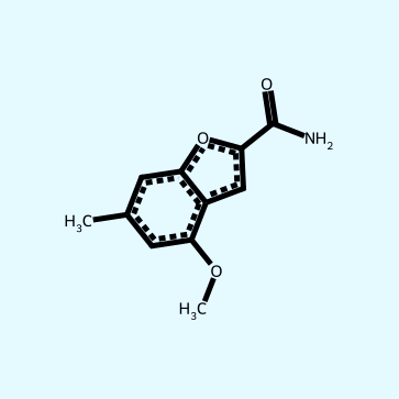 COc1cc(C)cc2oc(C(N)=O)cc12